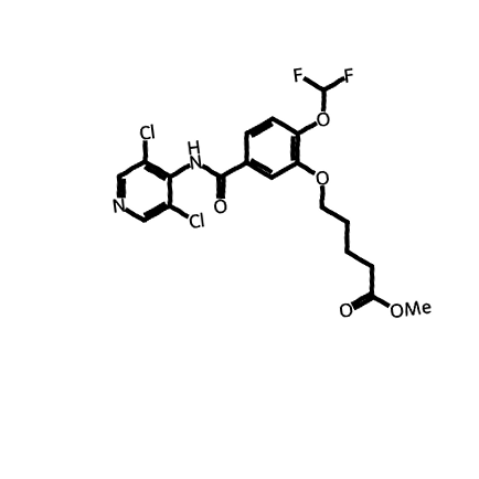 COC(=O)CCCCOc1cc(C(=O)Nc2c(Cl)cncc2Cl)ccc1OC(F)F